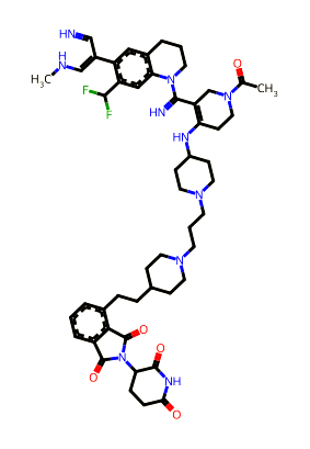 CN/C=C(\C=N)c1cc2c(cc1C(F)F)N(C(=N)C1=C(NC3CCN(CCCN4CCC(CCc5cccc6c5C(=O)N(C5CCC(=O)NC5=O)C6=O)CC4)CC3)CCN(C(C)=O)C1)CCC2